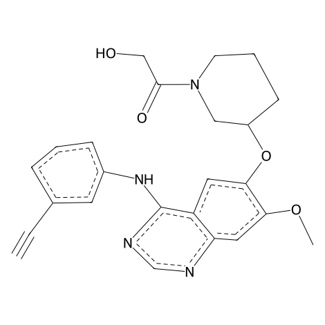 C#Cc1cccc(Nc2ncnc3cc(OC)c(OC4CCCN(C(=O)CO)C4)cc23)c1